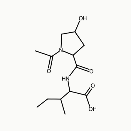 CCC(C)C(NC(=O)C1CC(O)CN1C(C)=O)C(=O)O